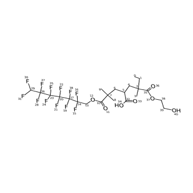 CCC(C)(CC(CC(C)(C)C(=O)OCC(F)(F)C(F)(F)C(F)(F)C(F)(F)C(F)(F)C(F)F)C(=O)O)C(=O)OCCO